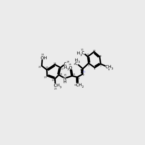 C=C(/C=C(\C)c1cc(C)ccc1C)C(=O)Nc1c(C)cc(CO)cc1C